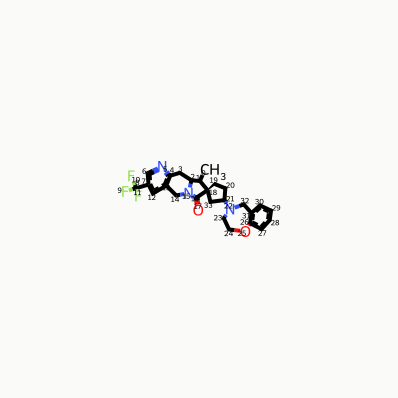 CC1C2Cc3ncc(C(F)(F)F)cc3CN2C(=O)[C@]12CCC(N1CCOc3ccccc3C1)C2